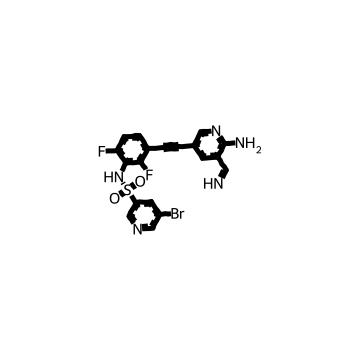 N=Cc1cc(C#Cc2ccc(F)c(NS(=O)(=O)c3cncc(Br)c3)c2F)cnc1N